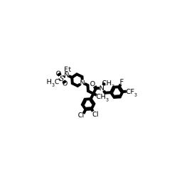 CCN(C1CCN(CCC(C)(C(=O)N(C)Cc2ccc(C(F)(F)F)c(F)c2)c2ccc(Cl)c(Cl)c2)CC1)S(C)(=O)=O